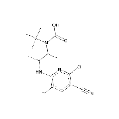 CC(Nc1nc(Cl)c(C#N)cc1F)C(C)N(C(=O)O)C(C)(C)C